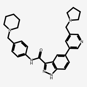 O=C(Nc1ccc(CN2CCCCC2)cc1)c1n[nH]c2ccc(-c3cncc(CN4CCCC4)c3)cc12